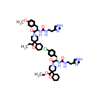 CCC(=O)C1(C2CCCCC2)CCN(C(=O)C(Cc2ccc(OC)cc2)NC(=O)NCCc2c[nH]cn2)CC1.CCOC(=O)C1(C2CCCCC2)CCN(C(=O)[C@H](Cc2ccc(Cl)cc2)NC(=O)NCCc2c[nH]cn2)CC1